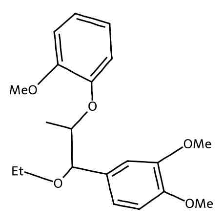 CCOC(c1ccc(OC)c(OC)c1)C(C)Oc1ccccc1OC